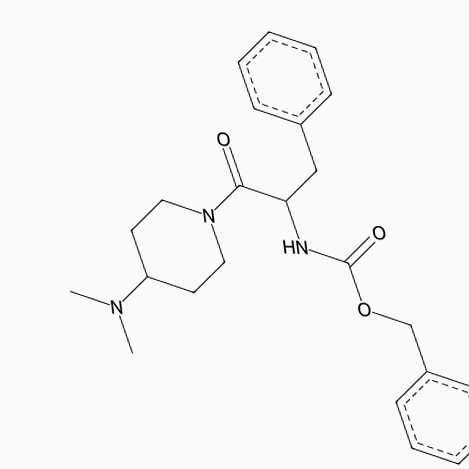 CN(C)C1CCN(C(=O)C(Cc2ccccc2)NC(=O)OCc2ccccc2)CC1